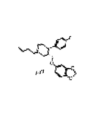 CCCCN1CC[C@@H](c2ccc(F)cc2)[C@H](COc2ccc3c(c2)OCO3)C1.Cl